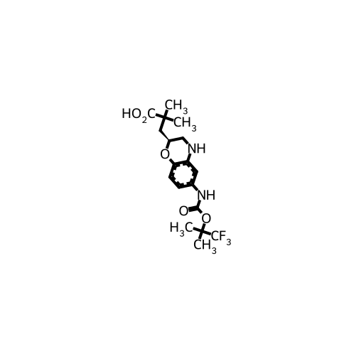 CC(C)(C[C@H]1CNc2cc(NC(=O)OC(C)(C)C(F)(F)F)ccc2O1)C(=O)O